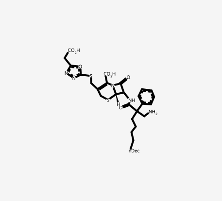 CCCCCCCCCCCCCCC(CN)(C(=O)NC1C(=O)N2C(C(=O)O)=C(CSc3nnc(CC(=O)O)o3)CS[C@@H]12)c1ccccc1